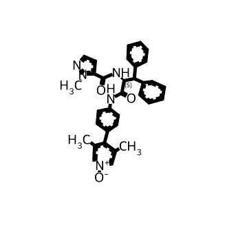 Cc1c[n+]([O-])cc(C)c1-c1ccc(NC(=O)[C@@H](NC(=O)c2ccnn2C)C(c2ccccc2)c2ccccc2)cc1